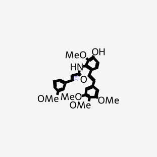 COc1cccc(/C=C/C(=O)Nc2c(C=Cc3cc(OC)c(OC)c(OC)c3)ccc(O)c2OC)c1